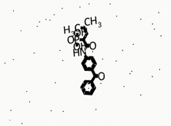 CC(C)CC(C(=O)Nc1ccc(C(=O)c2ccccc2)cc1)P(=O)(O)O